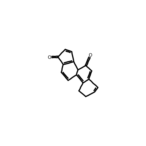 O=C1C=CC2=C1C=CC1=C3CCC=CC3=CC(=O)C21